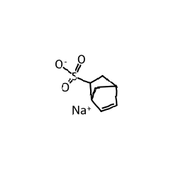 O=S(=O)([O-])C1CC2C=CC1C2.[Na+]